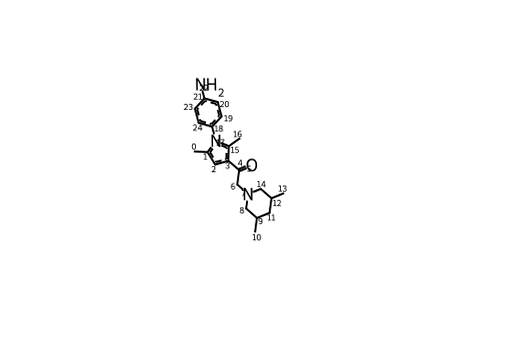 Cc1cc(C(=O)CN2CC(C)CC(C)C2)c(C)n1-c1ccc(N)cc1